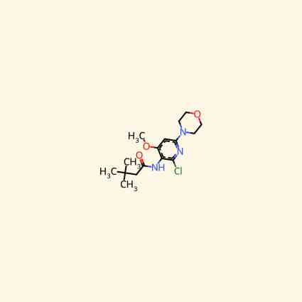 COc1cc(N2CCOCC2)nc(Cl)c1NC(=O)CC(C)(C)C